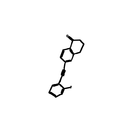 O=C1CCCc2cc(C#Cc3ccccc3F)ccc21